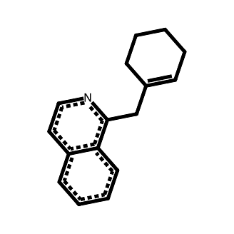 C1=C(Cc2nccc3ccccc23)CCCC1